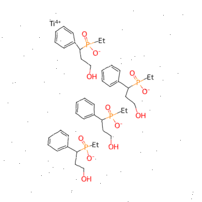 CCP(=O)([O-])C(CCO)c1ccccc1.CCP(=O)([O-])C(CCO)c1ccccc1.CCP(=O)([O-])C(CCO)c1ccccc1.CCP(=O)([O-])C(CCO)c1ccccc1.[Ti+4]